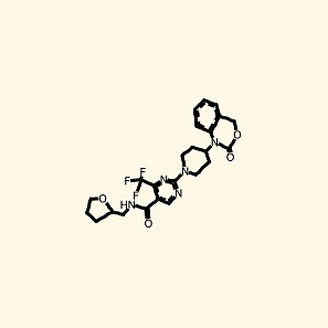 O=C(NCC1CCCO1)c1cnc(N2CCC(N3C(=O)OCc4ccccc43)CC2)nc1C(F)(F)F